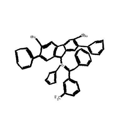 CC(C)(C)c1cc2c(cc1-c1ccccc1)[CH]([Zr]([C]1=CC=CC1)=[C](c1ccccc1)c1cccc(C(F)(F)F)c1)c1cc(-c3ccccc3)c(C(C)(C)C)cc1-2